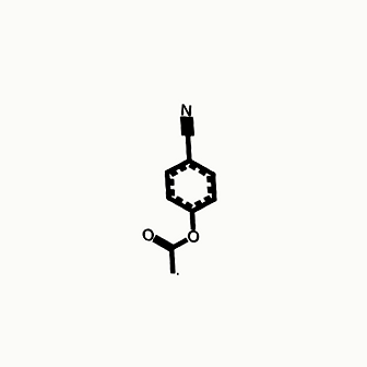 [CH2]C(=O)Oc1ccc(C#N)cc1